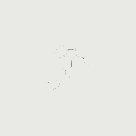 O=C(Cc1c(C(=O)O)[nH]c2ccccc12)Nc1nnn[nH]1